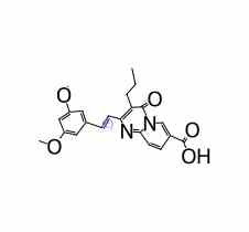 CCCc1c(/C=C/c2cc(OC)cc(OC)c2)nc2ccc(C(=O)O)cn2c1=O